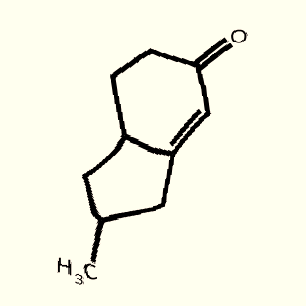 CC1CC2=CC(=O)CCC2C1